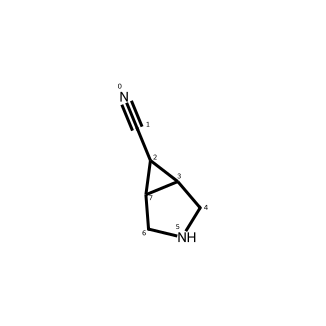 N#CC1C2CNCC12